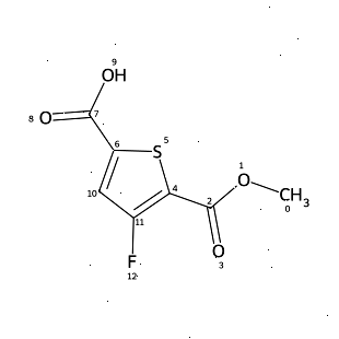 COC(=O)c1sc(C(=O)O)cc1F